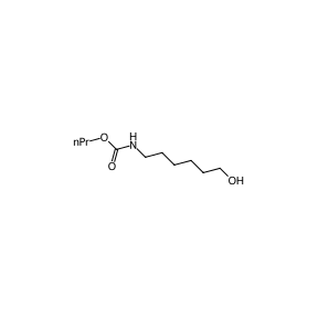 CCCOC(=O)NCCCCCCO